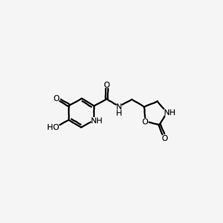 O=C1NCC(CNC(=O)c2cc(=O)c(O)c[nH]2)O1